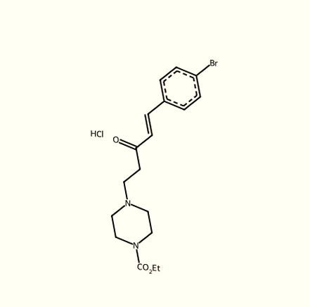 CCOC(=O)N1CCN(CCC(=O)C=Cc2ccc(Br)cc2)CC1.Cl